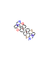 C=NC1=C(/N=C\C)C2(c3ccccc3S1)c1ccccc1Sc1ccc(-c3ccc4c(c3)[Si]3(c5ccccc5O4)c4ccccc4Oc4nccnc43)cc12